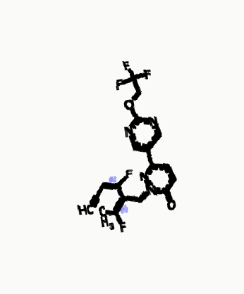 C#C/C=C(F)\C(Cn1nc(-c2cnc(OCC(F)(F)F)nc2)ccc1=O)=C(/C)F